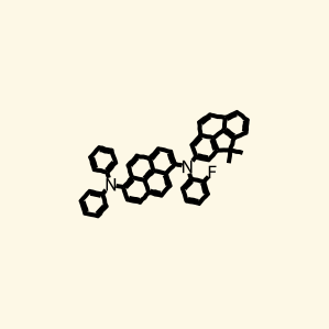 CC1(C)c2cccc3ccc4cc(N(c5ccccc5F)c5ccc6ccc7c(N(c8ccccc8)c8ccccc8)ccc8ccc5c6c87)cc1c4c23